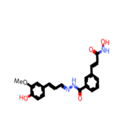 COc1cc(/C=C/C=N/NC(=O)c2cccc(/C=C/C(=O)NO)c2)ccc1O